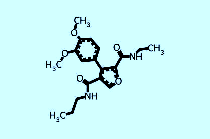 CCCNC(=O)c1coc(C(=O)NCC)c1-c1ccc(OC)c(OC)c1